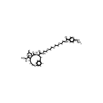 CC(C)C[C@H]1C(=O)NC(C(=O)NCCOCCOCCOCCNC(=O)c2ccc(NN)nc2)Cc2ccc(cc2)OCCCC1C(=O)NO